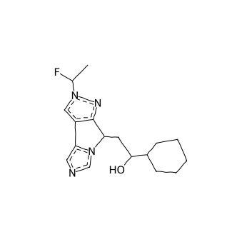 CC(F)n1cc2c(n1)C(CC(O)C1CCCCC1)n1cncc1-2